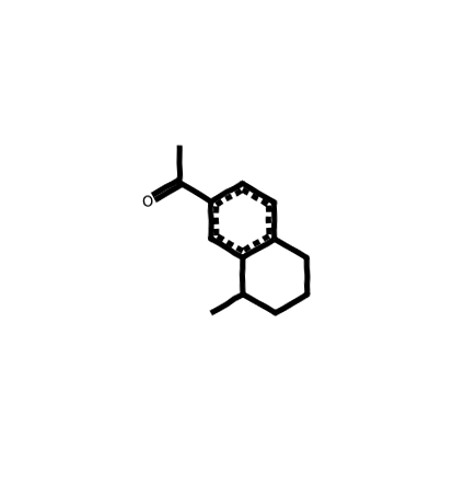 CC(=O)c1ccc2c(c1)C(C)CCC2